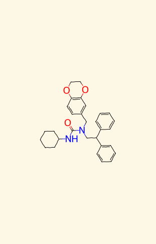 O=C(NC1CCCCC1)N(Cc1ccc2c(c1)OCCO2)CC(c1ccccc1)c1ccccc1